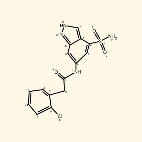 NS(=O)(=O)c1cc(NC(=O)Cc2ccccc2Cl)cc2n[nH]cc12